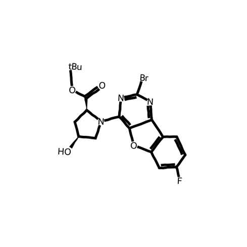 CC(C)(C)OC(=O)[C@@H]1C[C@H](O)CN1c1nc(Br)nc2c1oc1cc(F)ccc12